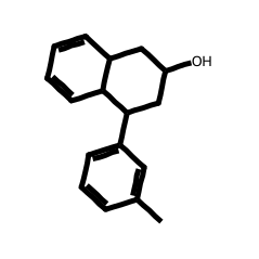 Cc1cccc(C2CC(O)CC3C=CC=CC32)c1